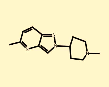 Cc1ccc2nn(C3CCN(C)CC3)cc2n1